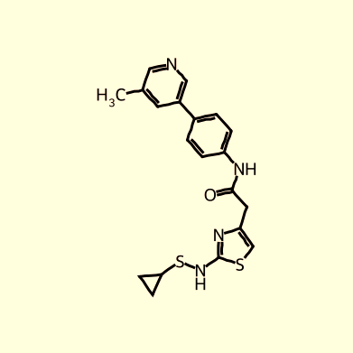 Cc1cncc(-c2ccc(NC(=O)Cc3csc(NSC4CC4)n3)cc2)c1